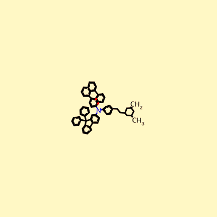 C=C1CC(C)CC(CCc2ccc(N(c3ccc(-c4cccc5cccc(-c6ccccc6)c45)cc3)c3ccc4c(c3)C(c3ccccc3)(c3ccccc3)c3ccccc3-4)cc2)C1